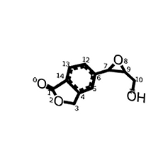 O=C1OCc2cc(C3OC3CO)ccc21